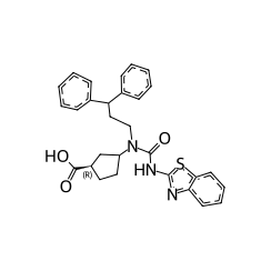 O=C(O)[C@@H]1CCC(N(CCC(c2ccccc2)c2ccccc2)C(=O)Nc2nc3ccccc3s2)C1